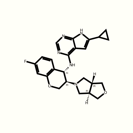 Fc1ccc2c(c1)OC[C@H](N1C[C@@H]3COC[C@H]3C1)[C@H]2Nc1ncnc2[nH]c(C3CC3)cc12